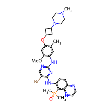 COc1cc(OC2CC(N3CCN(C)CC3)C2)c(C)cc1Nc1ncc(Br)c(Nc2ccc3nccnc3c2P(C)(C)=O)n1